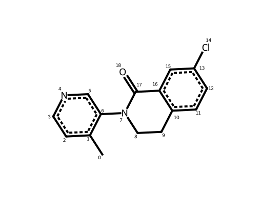 Cc1ccncc1N1CCc2ccc(Cl)cc2C1=O